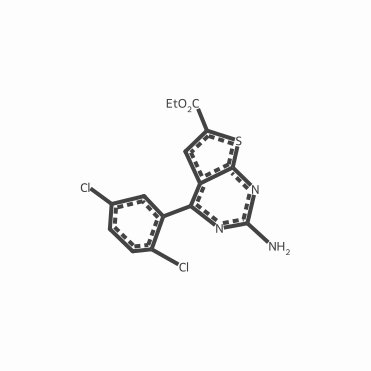 CCOC(=O)c1cc2c(-c3cc(Cl)ccc3Cl)nc(N)nc2s1